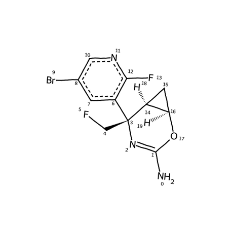 NC1=N[C@](CF)(c2cc(Br)cnc2F)[C@H]2C[C@H]2O1